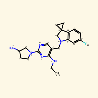 CCNc1nc(N2CCC(N)C2)ncc1CN1CC2(CC2)c2ccc(F)cc21